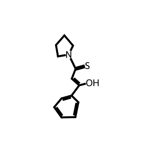 O/C(=C\C(=S)N1CCCC1)c1ccccc1